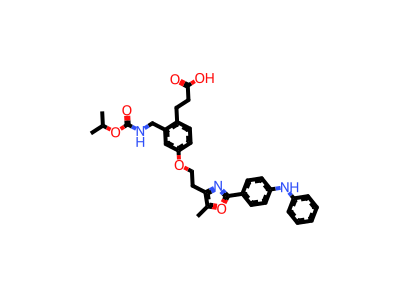 Cc1oc(-c2ccc(Nc3ccccc3)cc2)nc1CCOc1ccc(CCC(=O)O)c(CNC(=O)OC(C)C)c1